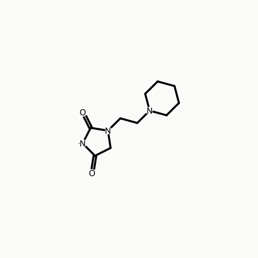 O=C1CN(CCN2CCCCC2)C(=O)[N]1